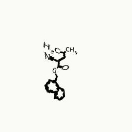 CC(C)C=C(C#N)C(=O)OCc1cccc2ccccc12